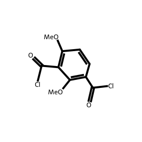 COc1ccc(C(=O)Cl)c(OC)c1C(=O)Cl